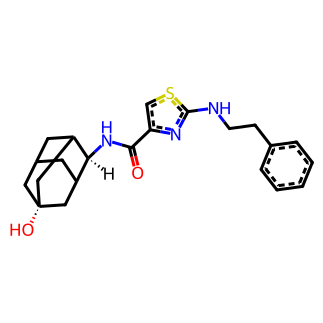 O=C(N[C@H]1C2CC3CC1C[C@](O)(C3)C2)c1csc(NCCc2ccccc2)n1